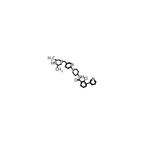 CC1CN(Cc2ccc(N3CCC(NC(=O)c4cccc(-c5cccnc5)c4Cl)CC3)nc2)CC(C)N1